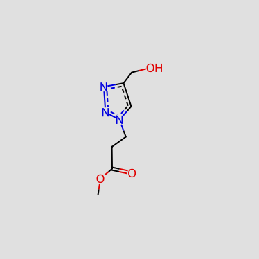 COC(=O)CCn1cc(CO)nn1